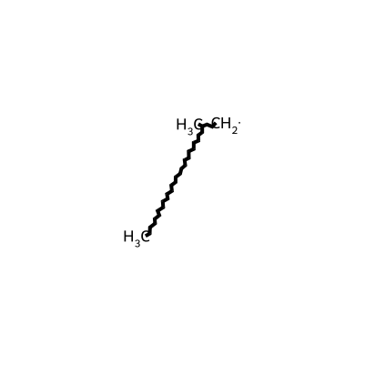 [CH2]CCC(C)CCCCCCCCCCCCCCCCCCCCCCCCCC